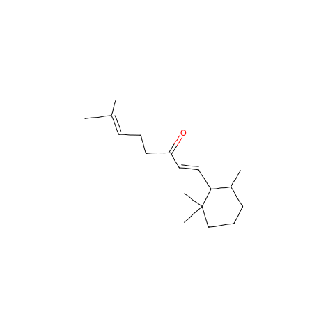 CC(C)=CCCC(=O)C=CC1C(C)CCCC1(C)C